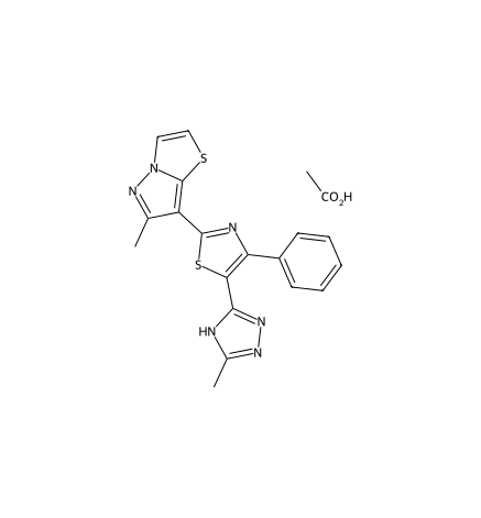 CC(=O)O.Cc1nnc(-c2sc(-c3c(C)nn4ccsc34)nc2-c2ccccc2)[nH]1